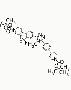 Cn1c(-c2ccc(C3=CCN(C(=O)OC(C)(C)C)CC3)cc2)nnc1-c1ccc(C2=CCN(C(=O)OC(C)(C)C)CC2)c(C(F)(F)F)c1